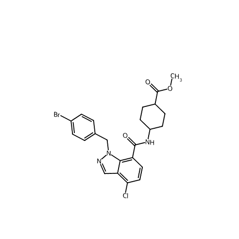 COC(=O)C1CCC(NC(=O)c2ccc(Cl)c3cnn(Cc4ccc(Br)cc4)c23)CC1